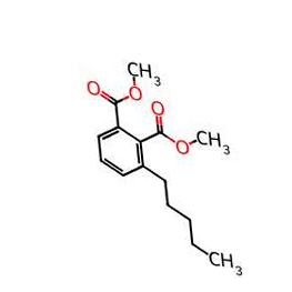 CCCCCc1cccc(C(=O)OC)c1C(=O)OC